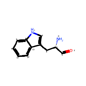 N[C@H](C=O)Cc1c[nH]c2cc[c]cc12